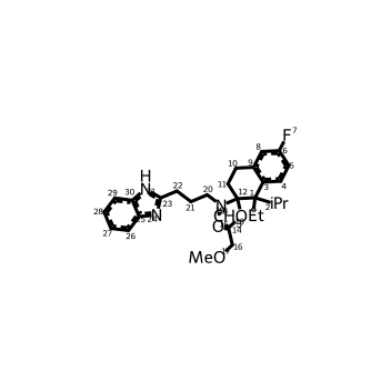 CCC1(C(C)C)c2ccc(F)cc2CCC1(OC(=O)COC)N(C)CCCc1nc2ccccc2[nH]1